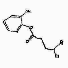 CCC(CC)CCC(=O)Oc1ccccc1OC(C)=O